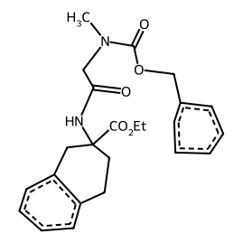 CCOC(=O)C1(NC(=O)CN(C)C(=O)OCc2ccccc2)CCc2ccccc2C1